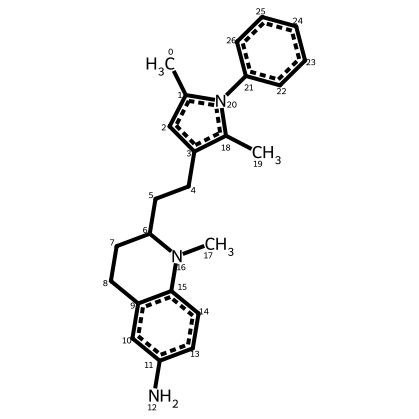 Cc1cc(CCC2CCc3cc(N)ccc3N2C)c(C)n1-c1ccccc1